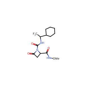 CONC(=O)C1CC(=O)N1C(=O)NC(C1CCCCC1)C(F)(F)F